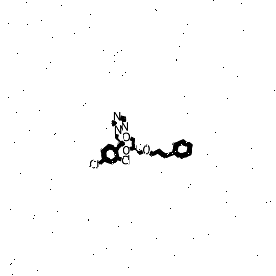 Clc1ccc([C@]2(Cn3cncn3)OC[C@@H](COCC=Cc3ccccc3)O2)c(Cl)c1